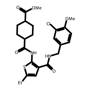 CCc1cc(C(=O)NCc2ccc(OC)c(Cl)c2)c(NC(=O)C2CCC(C(=O)OC)CC2)s1